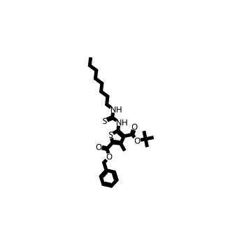 CCCCCCCCNC(=S)Nc1sc(C(=O)OCc2ccccc2)c(C)c1C(=O)OC(C)(C)C